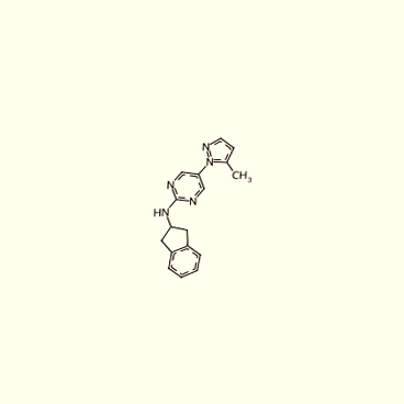 Cc1ccnn1-c1cnc(NC2Cc3ccccc3C2)nc1